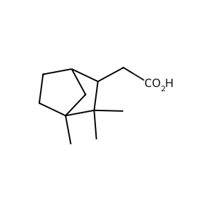 CC12CCC(C1)C(CC(=O)O)C2(C)C